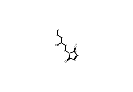 CCCC(O)CCN1C(=O)C=CC1=O